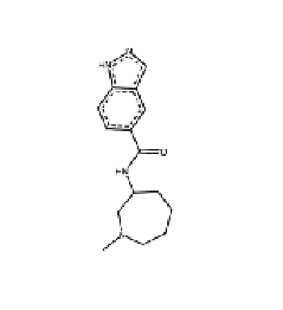 CN1CCCCC(NC(=O)c2ccc3[nH]ncc3c2)C1